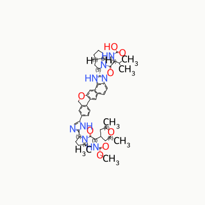 COC(=O)N[C@H](C(=O)N1[C@@H](C)CC[C@H]1c1ncc(-c2ccc3c(c2)COc2cc4c(ccc5nc([C@@H]6C[C@@H]7CCC[C@@H]7N6C(=O)[C@@H](NC(=O)O)C(C)C)[nH]c54)cc2-3)[nH]1)C1C[C@@H](C)O[C@H](C)C1